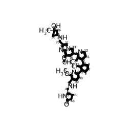 COc1nc(-c2cccc(-c3ccnc(-c4cc(OC)c5nc(CN[C@H]6C[C@](C)(O)C6)cn5c4)c3Cl)c2Cl)ccc1CNC[C@H]1CCC(=O)N1